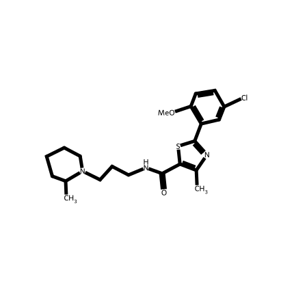 COc1ccc(Cl)cc1-c1nc(C)c(C(=O)NCCCN2CCCCC2C)s1